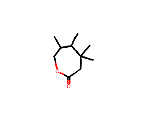 CC1COC(=O)CC(C)(C)C1C